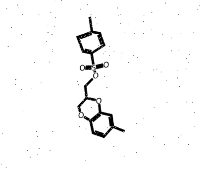 Cc1ccc(S(=O)(=O)OCC2COc3ccc(C)cc3O2)cc1